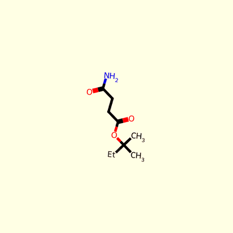 CCC(C)(C)OC(=O)CCC(N)=O